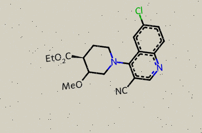 CCOC(=O)[C@H]1CCN(c2c(C#N)cnc3ccc(Cl)cc23)CC1OC